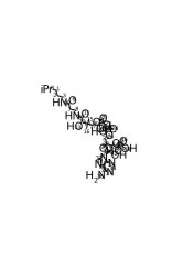 CC(C)CCCNC(=O)CCNC(=O)C(O)C(C)(C)COP(=O)(O)OP(=O)(O)OCC1OC(n2cnc3c(N)ncnc32)C(O)C1OP(=O)(O)O